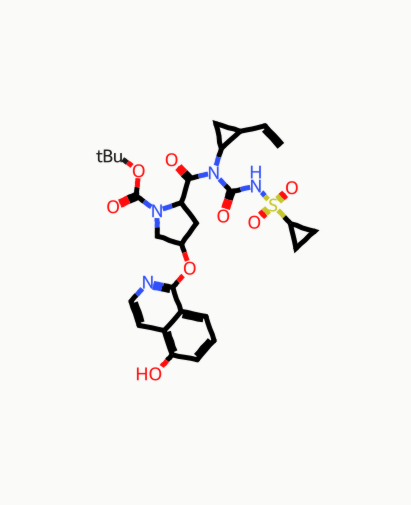 C=CC1CC1N(C(=O)NS(=O)(=O)C1CC1)C(=O)C1CC(Oc2nccc3c(O)cccc23)CN1C(=O)OC(C)(C)C